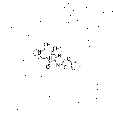 CCN1CCCC1CNC(=O)c1nc(Cl)c(Oc2ccccc2)nc1OC